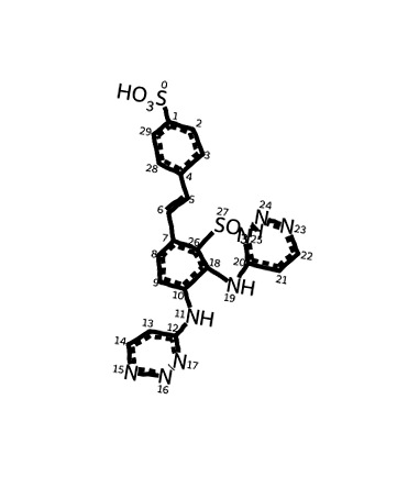 O=S(=O)(O)c1ccc(C=Cc2ccc(Nc3ccnnn3)c(Nc3ccnnn3)c2S(=O)(=O)O)cc1